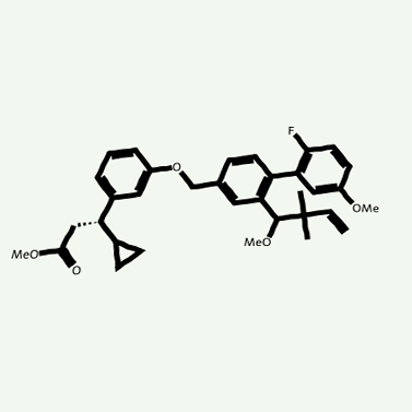 C=CC(C)(C)C(OC)c1cc(COc2cccc([C@@H](CC(=O)OC)C3CC3)c2)ccc1-c1cc(OC)ccc1F